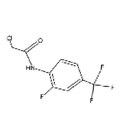 O=C(CCl)Nc1ccc(C(F)(F)F)cc1F